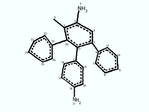 Cc1c(N)cc(-c2ccccc2)c(-c2ccc(N)cc2)c1-c1ccccc1